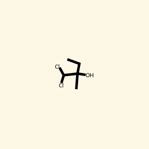 CCC(C)(O)C(Cl)Cl